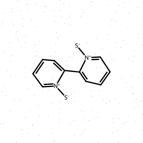 [S-][n+]1ccccc1-c1cccc[n+]1[S-]